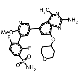 COc1ncc(-c2cc(OC3CCOCC3)c3nc(N)nc(C)c3c2)cc1-c1c(F)ccc(S(N)(=O)=O)c1F